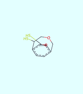 SC1COCc2ccc1c1c2COCC1S